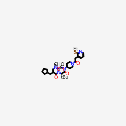 CCSc1ncccc1CC(=O)N1CCC(N(C)C(=O)C(NC(=O)C(CC2CCCC2)CN(O)C=O)C(C)(C)C)CC1